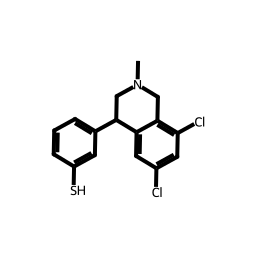 CN1Cc2c(Cl)cc(Cl)cc2C(c2cccc(S)c2)C1